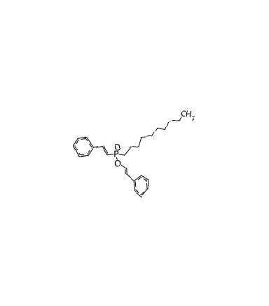 CCCCCCCCCCP(=O)(C=Cc1ccccc1)OC=Cc1ccccc1